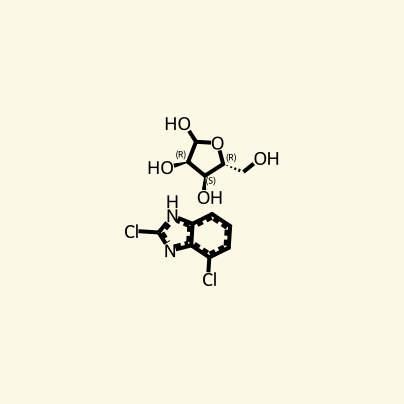 Clc1nc2c(Cl)cccc2[nH]1.OC[C@H]1OC(O)[C@H](O)[C@@H]1O